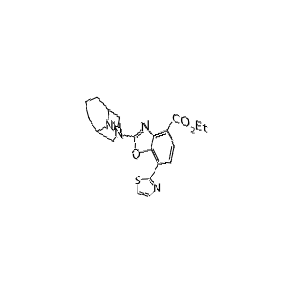 CCOC(=O)c1ccc(-c2nccs2)c2oc(N3CC4CCCC(C3)N4)nc12